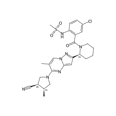 Cc1cn2nc([C@@H]3CCCCN3C(=O)c3cc(Cl)ccc3NS(C)(=O)=O)cc2nc1N1C[C@@H](C)[C@@H](C#N)C1